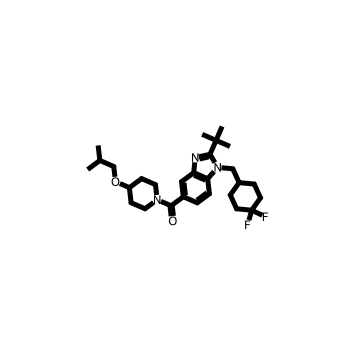 CC(C)COC1CCN(C(=O)c2ccc3c(c2)nc(C(C)(C)C)n3CC2CCC(F)(F)CC2)CC1